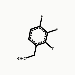 O=[C]Cc1ccc(F)c(F)c1F